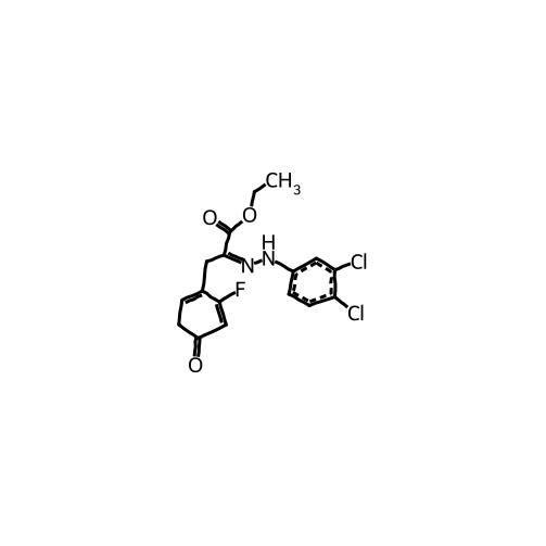 CCOC(=O)C(CC1=CCC(=O)C=C1F)=NNc1ccc(Cl)c(Cl)c1